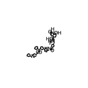 O=C(NCc1ccc(-c2cccc(C(C(=O)OCC3CCN(Cc4ccccc4)CC3)c3ccccc3)c2)s1)c1ccc(CNC[C@H](O)c2ccc(O)c3[nH]c(=O)ccc23)c(F)c1